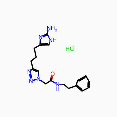 Cl.Nc1nc(CCCc2cn(CC(=O)NCCc3ccccc3)nn2)c[nH]1